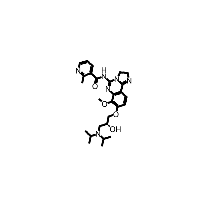 COc1c(OC[C@@H](O)CN(C(C)C)C(C)C)ccc2c1N=C(NC(=O)c1cccnc1C)N1CCN=C21